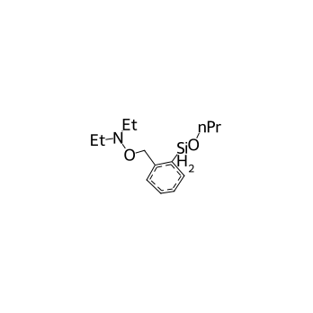 CCCO[SiH2]c1ccccc1CON(CC)CC